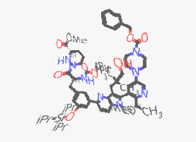 CCn1c(-c2cc(N3CCN(C(=O)OCc4ccccc4)CC3)cnc2[C@H](C)OC)c(CC(C)(C)CO)c2nc(-c3cc(C[C@H](NC(=O)OC(C)(C)C)C(=O)N4CCC[C@@H](C(=O)OC)N4)cc(O[Si](C(C)C)(C(C)C)C(C)C)c3)ccc21